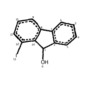 OC1c2ccccc2-c2cccc(I)c21